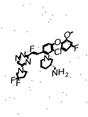 COc1cc(F)ccc1Oc1ccc(/C=C(\F)c2nncc(N3CCC(F)(F)C3)n2)c(N2CCC[C@@H](CN)C2)c1Cl